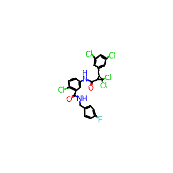 O=C(NCc1ccc(F)cc1)c1cc(NC(=O)C2C(c3cc(Cl)cc(Cl)c3)C2(Cl)Cl)ccc1Cl